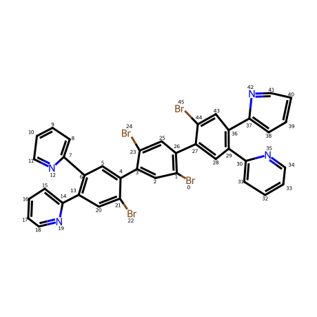 Brc1cc(-c2cc(-c3ccccn3)c(-c3ccccn3)cc2Br)c(Br)cc1-c1cc(-c2ccccn2)c(-c2ccccn2)cc1Br